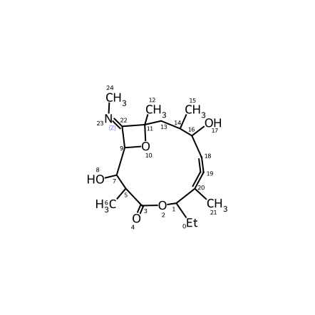 CCC1OC(=O)C(C)C(O)C2OC(C)(CC(C)C(O)C=C=C1C)/C2=N\C